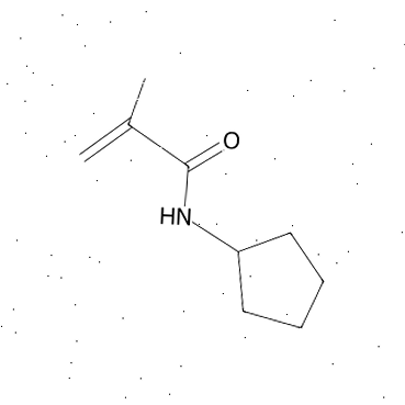 C=C(C)C(=O)NC1CCCC1